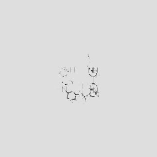 COCCn1cc(-c2cn3ncc(C(=O)Nc4cc(NC(=O)C[C@@H]5CCNC5)cnc4C)c3s2)cn1